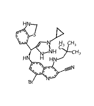 CC(C)(C)CNc1c(C#N)cnc2c(Br)cc(N[C@H](C3=CN(C4CC4)NN3)c3cccc4c3SCN4)cc12